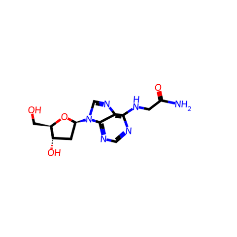 NC(=O)CNc1ncnc2c1ncn2[C@H]1C[C@H](O)[C@@H](CO)O1